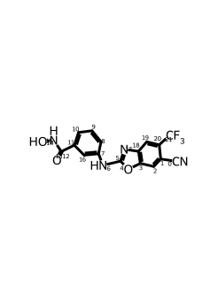 N#Cc1cc2oc(Nc3cccc(C(=O)NO)c3)nc2cc1C(F)(F)F